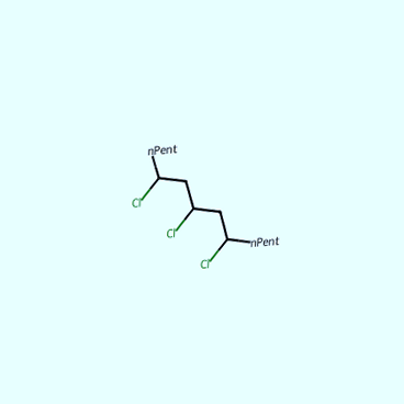 CCCCCC(Cl)CC(Cl)CC(Cl)CCCCC